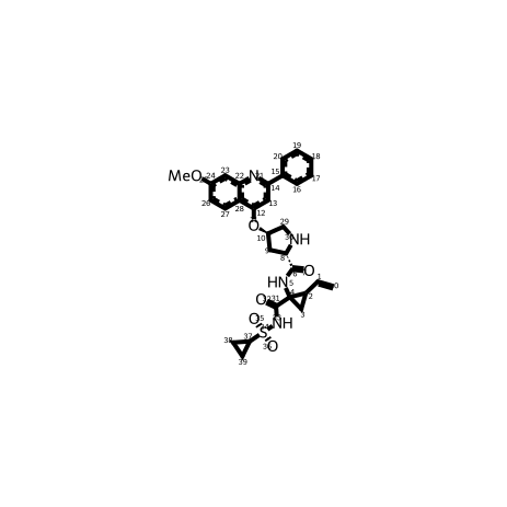 C=CC1CC1(NC(=O)[C@@H]1C[C@@H](Oc2cc(-c3ccccc3)nc3cc(OC)ccc23)CN1)C(=O)NS(=O)(=O)C1CC1